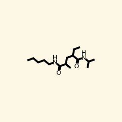 CCCCCNC(=O)C(C)CC(CC)C(=O)NC(C)C